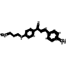 O=C(O)CCCOc1ccc(C(=O)C=Cc2ccc(C(=O)O)cc2)cc1